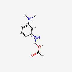 CC(=O)OCNc1cccc(N(C)C)c1